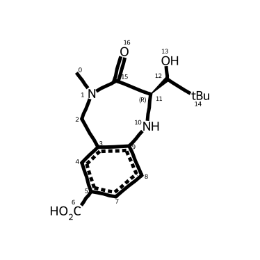 CN1Cc2cc(C(=O)O)ccc2N[C@H](C(O)C(C)(C)C)C1=O